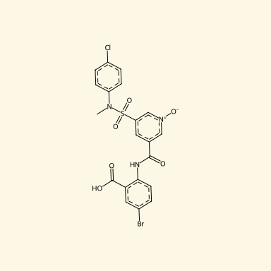 CN(c1ccc(Cl)cc1)S(=O)(=O)c1cc(C(=O)Nc2ccc(Br)cc2C(=O)O)c[n+]([O-])c1